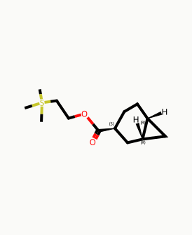 CS(C)(C)CCOC(=O)[C@H]1CC[C@@H]2C[C@@H]2C1